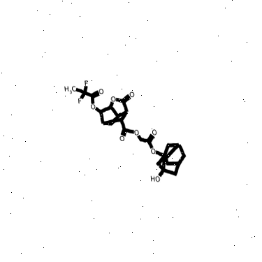 CC(F)(F)C(=O)OC1C2CC3C1OC(=O)C3C2C(=O)OCC(=O)OC12CC3CC(CC(O)(C3)C1)C2